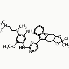 COc1cc(N(C)CCN(C)C)c(N)cc1Nc1nccc(-c2c3n(c4ccccc24)CC2OC(C)(C)OC2C3)n1